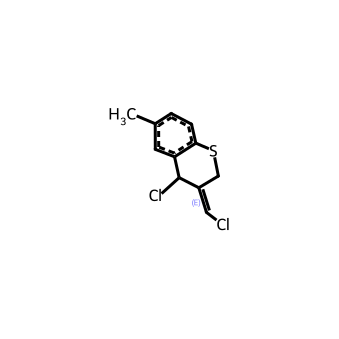 Cc1ccc2c(c1)C(Cl)/C(=C/Cl)CS2